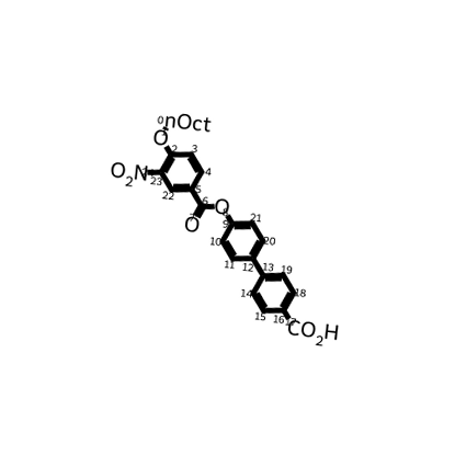 CCCCCCCCOc1ccc(C(=O)Oc2ccc(-c3ccc(C(=O)O)cc3)cc2)cc1[N+](=O)[O-]